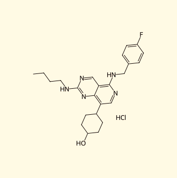 CCCCNc1ncc2c(NCc3ccc(F)cc3)ncc(C3CCC(O)CC3)c2n1.Cl